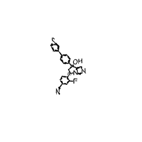 N#Cc1ccc([C@H]2C[C@](O)(c3ccc(-c4ccsc4)cc3)c3cncn32)c(F)c1